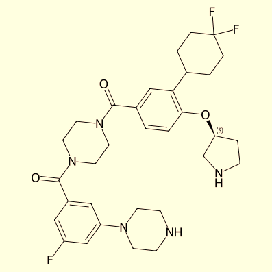 O=C(c1cc(F)cc(N2CCNCC2)c1)N1CCN(C(=O)c2ccc(O[C@H]3CCNC3)c(C3CCC(F)(F)CC3)c2)CC1